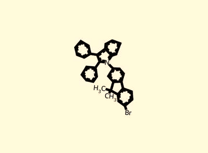 CC1(C)c2cc(Br)ccc2-c2ccc(-n3c(-c4ccccc4)c(-c4ccccc4)c4ccccc43)cc21